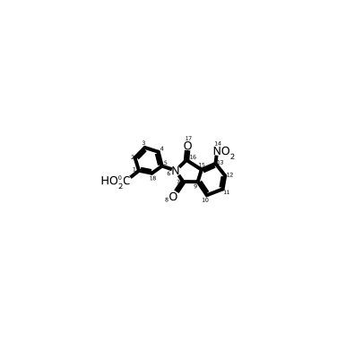 O=C(O)c1cccc(N2C(=O)c3cccc([N+](=O)[O-])c3C2=O)c1